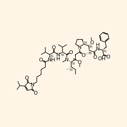 CC[C@H](C)[C@@H]([C@@H](CC(=O)N1CCC[C@H]1[C@H](OC)[C@@H](C)C(=O)N[C@@H](Cc1ccccc1)C(=O)O)OC)N(C)C(=O)[C@@H](NC(=O)[C@@H](NC(=O)CCCCCN1C(=O)C=C(C(C)C)C1=O)C(C)C)C(C)C